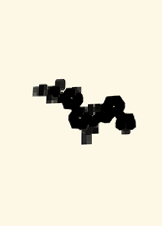 CCCCC(=O)Nc1cncc(-c2ccc3[nH]nc(-c4cc5c(-c6ccsc6)cccc5[nH]4)c3n2)c1